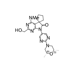 CNc1nc(CO)nc2c1C1(CCCC1)C(=O)N2c1cnc(N2C[C@@H](C)O[C@@H](C)C2)nc1